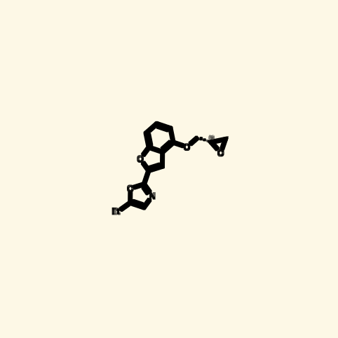 CCc1cnc(-c2cc3c(OC[C@@H]4CO4)cccc3o2)o1